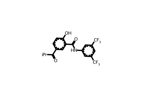 CC(C)C(=O)c1ccc(O)c(C(=O)Nc2cc(C(F)(F)F)cc(C(F)(F)F)c2)c1